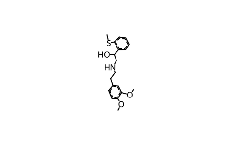 COc1ccc(CCNCC(O)c2ccccc2SC)cc1OC